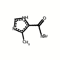 CCCCC(=O)c1[nH]cnc1C